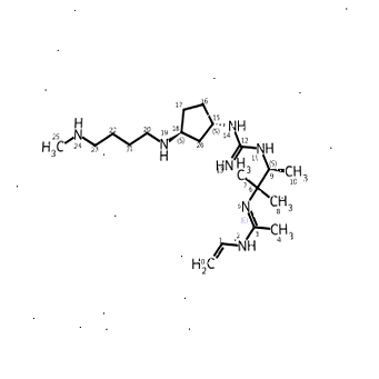 C=CN/C(C)=N/C(C)(C)[C@H](C)NC(=N)N[C@H]1CC[C@H](NCCCCNC)C1